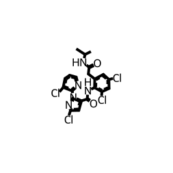 CC(C)NC(=O)Cc1cc(Cl)cc(Cl)c1NC(=O)c1cc(Cl)nn1-c1ncccc1Cl